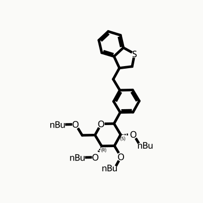 CCCCOCC1OC(c2cccc(CC3CSc4ccccc43)c2)[C@H](OCCCC)C(OCCCC)[C@@H]1OCCCC